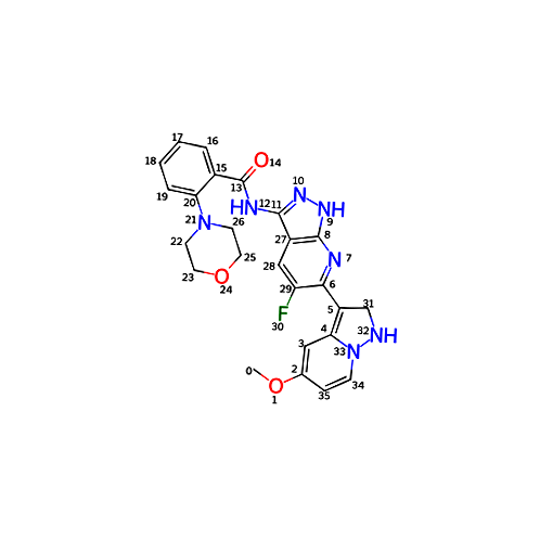 COC1=CC2=C(c3nc4[nH]nc(NC(=O)c5ccccc5N5CCOCC5)c4cc3F)CNN2C=C1